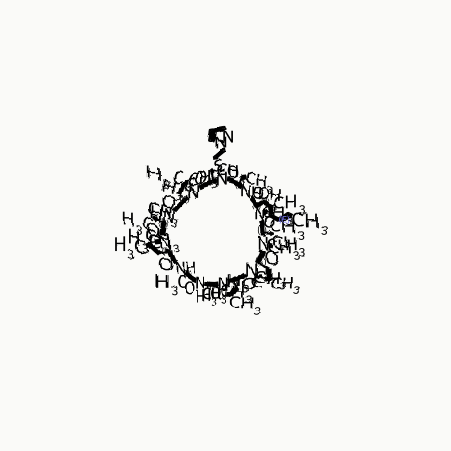 C/C=C/C[C@@H](C)[C@@H](O)[C@@H]1C(=O)N[C@H](CC)C(=O)N(C)[C@H](CSCCn2cccn2)C(=O)N(C)[C@@H](CC(C)C)C(=O)N[C@H](C(C)C)C(=O)N(C)[C@H](CC(C)C)C(=O)N[C@H](C)C(=O)N[C@@H](C)C(=O)N(C)[C@H](CC(C)C)C(=O)N(C)[C@H](CC(C)C)C(=O)N(C)[C@H](C(C)C)C(=O)N1C